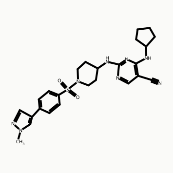 Cn1cc(-c2ccc(S(=O)(=O)N3CCC(Nc4ncc(C#N)c(NC5CCCC5)n4)CC3)cc2)cn1